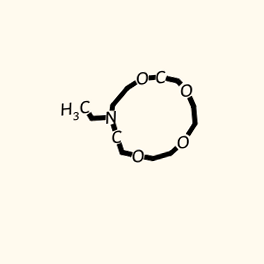 CCN1CCOCCOCCOCCOCC1